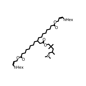 CCCCCC/C=C\COC(=O)CCCCCCCC(CCCCCCCC(=O)OC/C=C\CCCCCC)CC(=O)OCC(C)(C)CC(C)CN(C)C